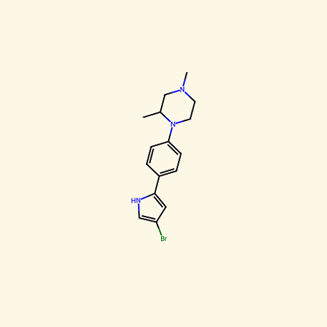 CC1CN(C)CCN1c1ccc(-c2cc(Br)c[nH]2)cc1